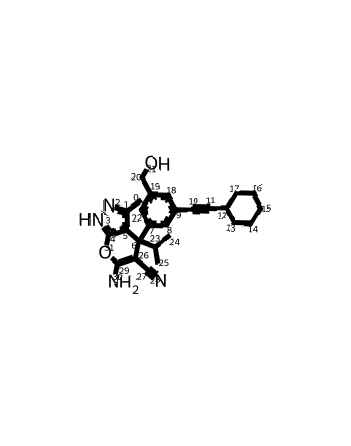 Cc1n[nH]c2c1C(c1cc(C#CC3CCCCC3)cc(CO)c1)(C(C)C)C(C#N)=C(N)O2